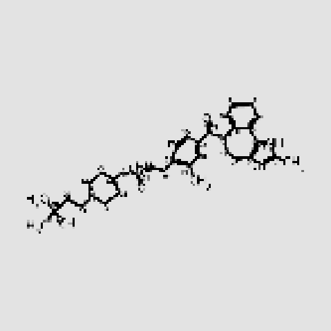 Cc1nc2c([nH]1)-c1ccccc1N(C(=O)c1ccc(CNC(=O)OC3CCN(CCC(C)(C)C)CC3)c(C)c1)CC2